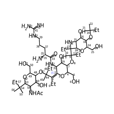 CC/C(=C1\OC(CO)C(OC(C)(CC)C2(CC)NC3C(O)C(OC(C)(C)CC)C(CO)OC32)C(O)C1NC(=O)[C@@H](N)CCCNC(=N)N)C(C)(CC)OC1C(CO)OC(C(C)(C)CC)C(NC(C)=O)C1O